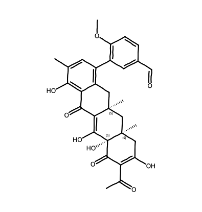 COc1ccc(C=O)cc1-c1cc(C)c(O)c2c1C[C@@]1(C)C[C@@]3(C)CC(O)=C(C(C)=O)C(=O)[C@@]3(O)C(O)=C1C2=O